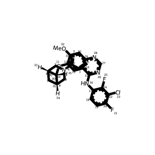 C=CC(=O)N1C[C@H]2C[C@@H](C1)[C@H]2Oc1cc2c(Nc3ccc(F)c(Cl)c3F)ncnc2cc1OC